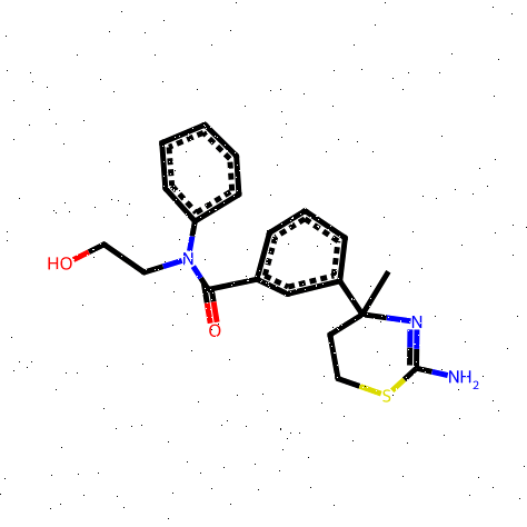 CC1(c2cccc(C(=O)N(CCO)c3ccccc3)c2)CCSC(N)=N1